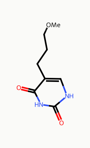 COCCCc1c[nH]c(=O)[nH]c1=O